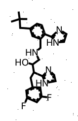 CC(C)(C)Cc1ccc(-c2ncc[nH]2)c(CNCC(O)C(Cc2cc(F)cc(F)c2)c2ncc[nH]2)c1